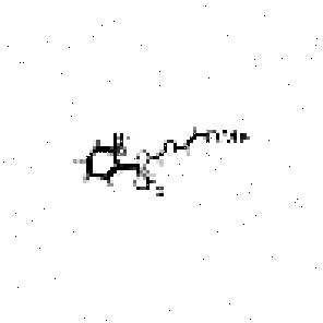 COCCOCOC(c1ccccc1Br)C(F)(F)F